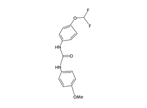 COc1ccc(NC(=O)Nc2ccc(OC(F)F)cc2)cc1